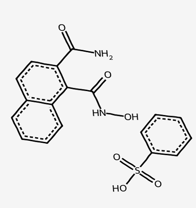 NC(=O)c1ccc2ccccc2c1C(=O)NO.O=S(=O)(O)c1ccccc1